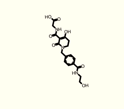 O=C(O)CNC(=O)C1=C(O)CCN(Cc2ccc(C(=O)NCCO)cc2)C1=O